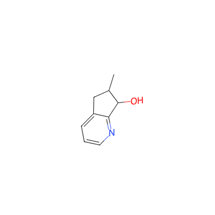 CC1Cc2cccnc2C1O